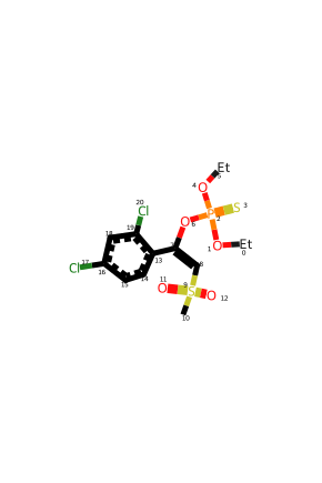 CCOP(=S)(OCC)OC(=CS(C)(=O)=O)c1ccc(Cl)cc1Cl